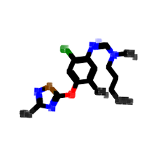 COCCCN(C)/C=N\c1cc(C)c(Oc2nc(C(C)(C)C)ns2)cc1Cl